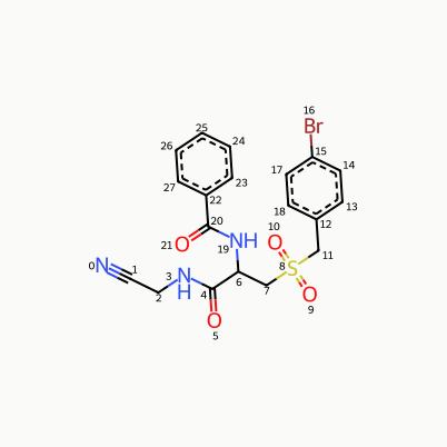 N#CCNC(=O)C(CS(=O)(=O)Cc1ccc(Br)cc1)NC(=O)c1ccccc1